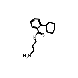 NCCCNC(=S)c1ccccc1C1CCCCC1